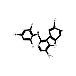 Nc1cnc(Nc2c(F)cc(F)cc2F)c2c1[nH]c1ccc(F)cc12